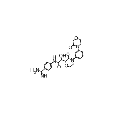 N=C(N)c1ccc(NC(=O)C(O)C2OCCN(c3cccc(N4CCOCC4=O)c3)C2=O)cc1